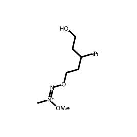 CO/[N+](C)=N\OCCC(CCO)C(C)C